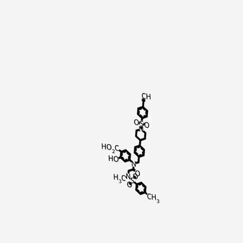 C#Cc1ccc(S(=O)(=O)N2CCC(c3ccc(CN(C(=O)CN(C)S(=O)(=O)c4ccc(C)cc4)c4ccc(C(=O)O)c(O)c4)cc3)CC2)cc1